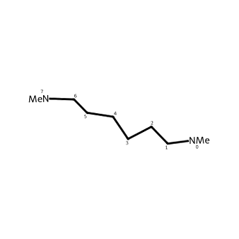 CNCCCCCCNC